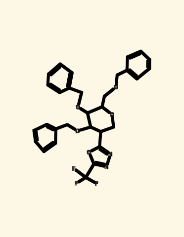 FC(F)(F)c1nnc(C2COC(COCc3ccccc3)C(OCc3ccccc3)C2OCc2ccccc2)o1